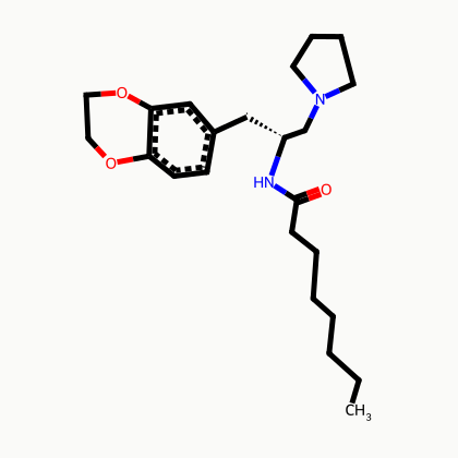 CCCCCCCC(=O)N[C@H]([CH]c1ccc2c(c1)OCCO2)CN1CCCC1